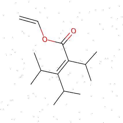 C=COC(=O)C(=C(C(C)C)C(C)C)C(C)C